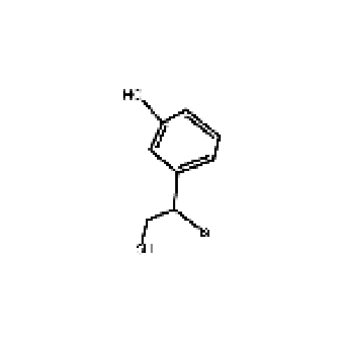 Oc1cccc(C(Br)CS)c1